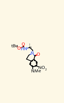 CNc1cc2c(cc1[N+](=O)[O-])C(=O)N(C[C@@H](C)NC(=O)OC(C)(C)C)CC2